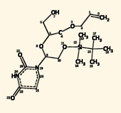 C=CCOCC(CO)OC(CO[Si](C)(C)C(C)(C)C)n1ccc(=O)[nH]c1=O